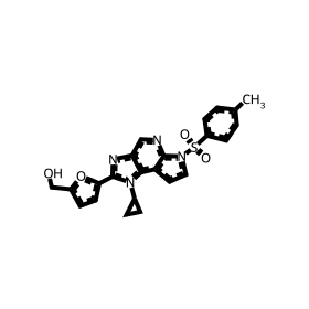 Cc1ccc(S(=O)(=O)n2ccc3c2ncc2nc(-c4ccc(CO)o4)n(C4CC4)c23)cc1